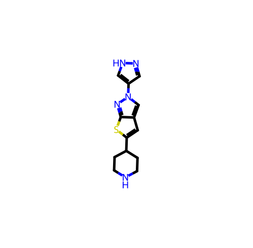 c1n[nH]cc1-n1cc2cc(C3CCNCC3)sc2n1